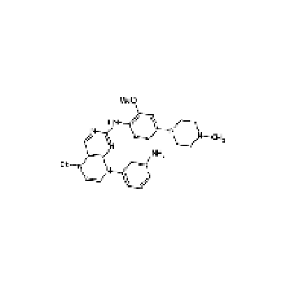 CCN1C=CN(c2cccc(N)c2)c2nc(Nc3ccc(N4CCN(C)CC4)cc3OC)ncc21